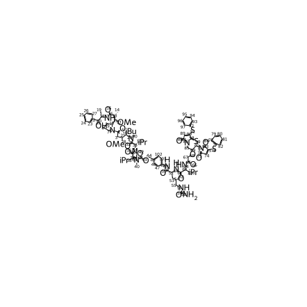 CCC(C)[C@@H](C(CC(=O)N1CCC[C@H]1[C@H](OC)[C@@H](C)C(=O)N[C@H](C)[C@@H](O)c1ccccc1)OC)N(C)C(=O)[C@@H](NC(=O)[C@H](C(C)C)N(C)C(=O)OCc1ccc(NC(=O)[C@H](CCCNC(N)=O)NC(=O)[C@@H](NC(=O)COC(CN2C(=O)C=C(Sc3ccccc3)C2=O)CN2C(=O)C=C(Sc3ccccc3)C2=S)C(C)C)cc1)C(C)C